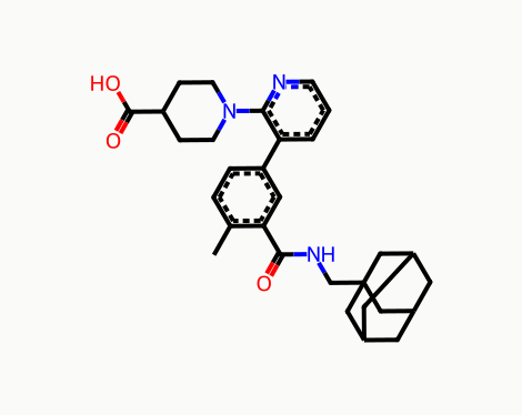 Cc1ccc(-c2cccnc2N2CCC(C(=O)O)CC2)cc1C(=O)NCC12CC3CC(CC(C3)C1)C2